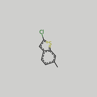 Cc1ccc2cc(Cl)sc2c1